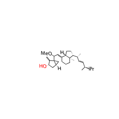 C=C1[C@@H](O)C[C@@H]2CC12C(/C=C1\CCC[C@]2(C)[C@@H]([C@H](C)/C=C/[C@H](C)C(C)C)CC[C@@H]12)OC